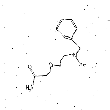 CC(=O)N(CCOCC(N)=O)Cc1ccccc1